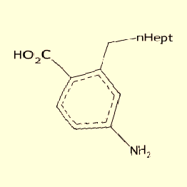 CCCCCCCCc1cc(N)ccc1C(=O)O